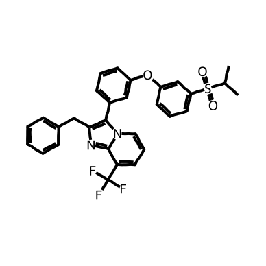 CC(C)S(=O)(=O)c1cccc(Oc2cccc(-c3c(Cc4ccccc4)nc4c(C(F)(F)F)cccn34)c2)c1